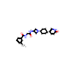 O=C(CNC(=O)c1cccc(C(F)(F)F)c1)NC1CN([C@H]2CC[C@@H](c3ccc(=O)[nH]c3)CC2)C1